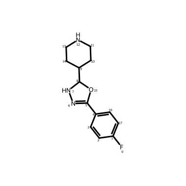 Fc1ccc(C2=NNC(C3CCNCC3)O2)cc1